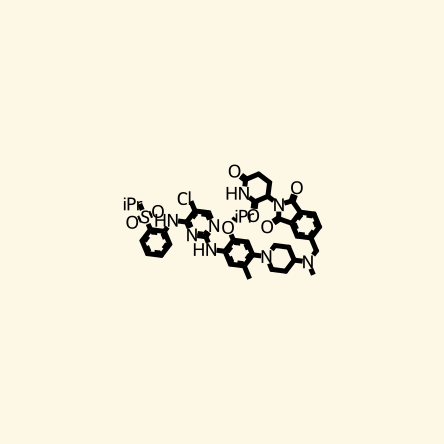 Cc1cc(Nc2ncc(Cl)c(Nc3ccccc3S(=O)(=O)C(C)C)n2)c(OC(C)C)cc1N1CCC(N(C)Cc2ccc3c(c2)C(=O)N(C2CCC(=O)NC2=O)C3=O)CC1